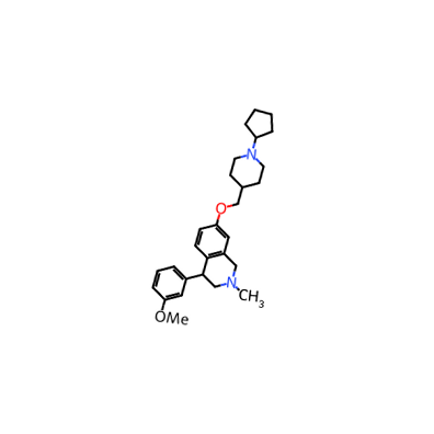 COc1cccc(C2CN(C)Cc3cc(OCC4CCN(C5CCCC5)CC4)ccc32)c1